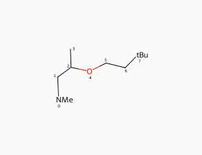 CNCC(C)OCCC(C)(C)C